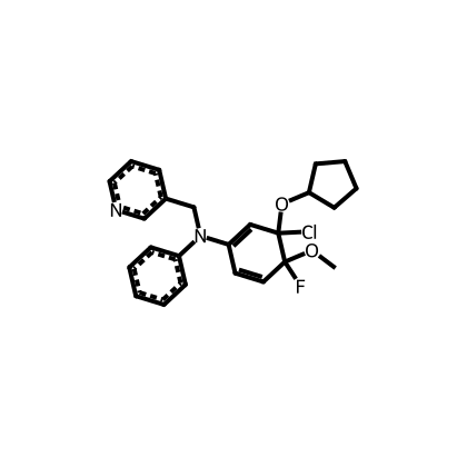 COC1(F)C=CC(N(Cc2cccnc2)c2ccccc2)=CC1(Cl)OC1CCCC1